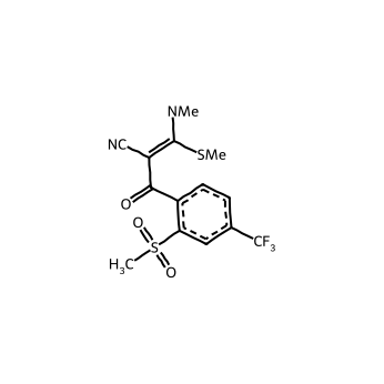 CNC(SC)=C(C#N)C(=O)c1ccc(C(F)(F)F)cc1S(C)(=O)=O